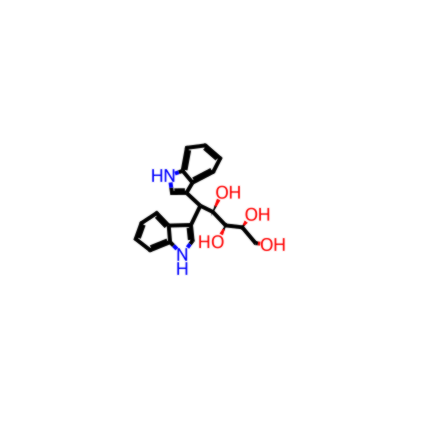 OC[C@H](O)[C@@H](O)[C@H](O)C(c1c[nH]c2ccccc12)c1c[nH]c2ccccc12